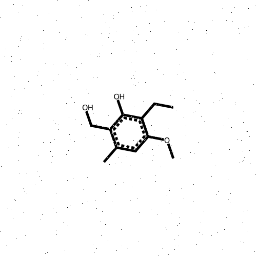 CCc1c(OC)cc(C)c(CO)c1O